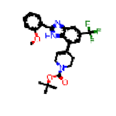 COc1ccccc1-c1nc2cc(C(F)(F)F)cc(C3=CCN(C(=O)OC(C)(C)C)CC3)c2[nH]1